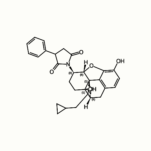 O=C1CC(c2ccccc2)C(=O)N1[C@@H]1CC[C@@]2(O)[C@H]3Cc4ccc(O)c5c4[C@@]2(CCN3CC2CC2)[C@H]1O5